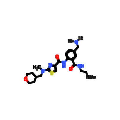 CCN(CC)Cc1ccc(NC(=O)c2csc(N(C)CC3CCOCC3)n2)c(C(=O)NCCOC)c1